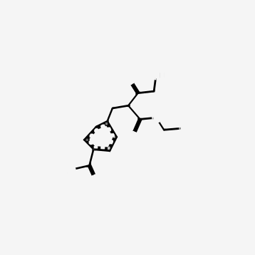 CCOC(=O)C(Cc1ccc(C(C)=O)cc1)C(=O)CC